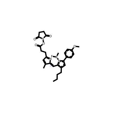 CCCCc1cc(-c2ccc(OC)cc2)n(B(C)F)c1/C=C1\N=C(CCC(=O)ON2C(=O)CCC2=O)C=C1C